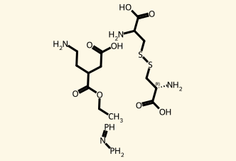 CCOC(=O)C(CCN)CC(=O)O.NC(CSSC[C@H](N)C(=O)O)C(=O)O.P=NP